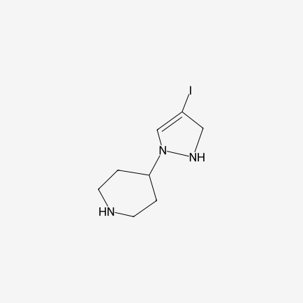 IC1=CN(C2CCNCC2)NC1